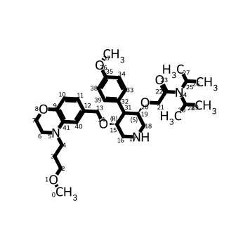 COCCCN1CCOc2ccc(CO[C@H]3CNC[C@@H](OCC(=O)N(C(C)C)C(C)C)C3c3ccc(OC)cc3)cc21